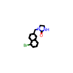 O=C1NCCN1Cc1ccc2c(Br)cccc2c1